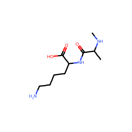 CNC(C)C(=O)NC(CCCCN)C(=O)O